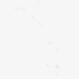 CNC1CN(c2ccc3c(n2)CCC(NC(=O)c2sc4nc(C)ncc4c2N)C3)CC1CF